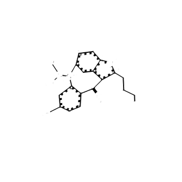 CCCCc1oc2ccc3cc2c1C(=O)c1ccc(F)cc1N3[S+](C)[O-]